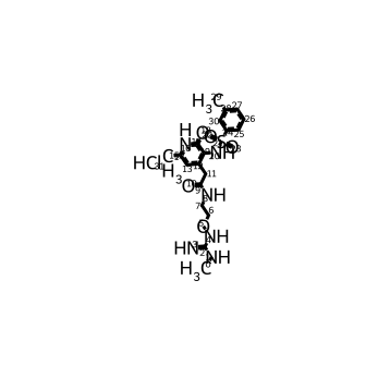 CNC(=N)NOCCNC(=O)Cc1cc(C)[nH]c(=O)c1NS(=O)(=O)c1cccc(C)c1.Cl